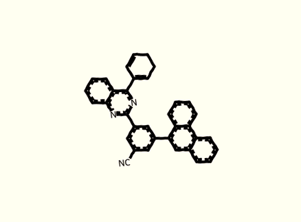 N#Cc1cc(-c2nc(C3=CCCC=C3)c3ccccc3n2)cc(-c2cc3ccccc3c3ccccc23)c1